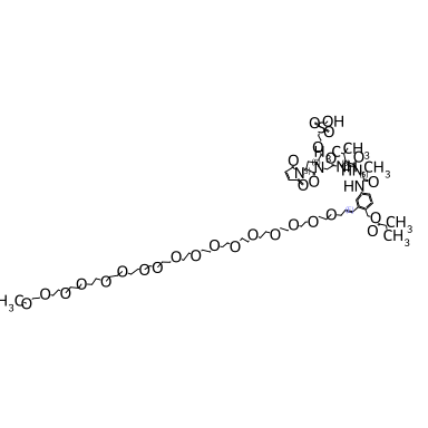 COCCOCCOCCOCCOCCOCCOCOCCOCCOCCOCCOCCOCCOCCOCCOCCOC/C=C/c1cc(NC(=O)[C@H](C)NC(=O)[C@@H](NC(=O)CN2C(=O)[C@@H](N3C(=O)C=CC3=O)C[C@H]2COCCS(=O)(=O)O)C(C)C)ccc1COC(=O)C(C)C